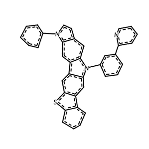 c1ccc(-n2ccc3cc4c(cc32)c2cc3sc5ccccc5c3cc2n4-c2cccc(-c3ccccn3)c2)cc1